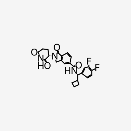 O=C1CC[C@H](N2Cc3cc(C(=O)N[C@H](c4ccc(F)c(F)c4)C4CCC4)ccc3C2=O)C(=O)N1